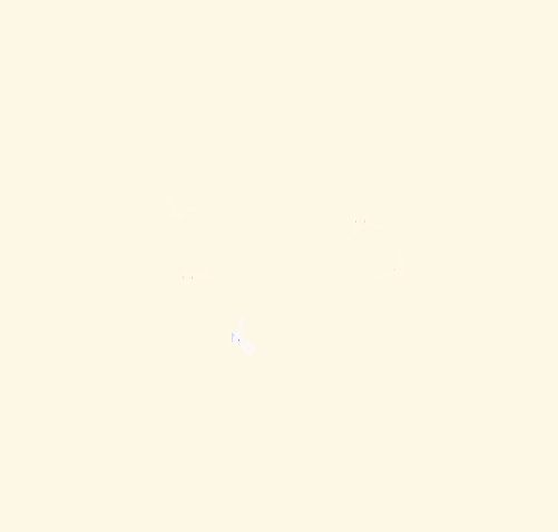 COc1cccc2c1C(=O)c1nccc3cc4c(c-2c13)OCO4